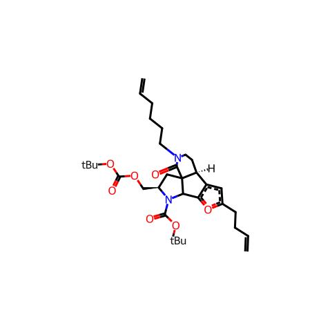 C=CCCCCN1CC[C@H]2c3cc(CCC=C)oc3C3N(C(=O)OC(C)(C)C)[C@@H](COC(=O)OC(C)(C)C)CC32C1=O